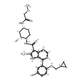 COCC(=O)N[C@@H]1CC[C@@H](NC(=O)c2c(C)[nH]c3c(-c4cc(F)ccc4OCC4CC4)ncnc23)[C@H](F)C1